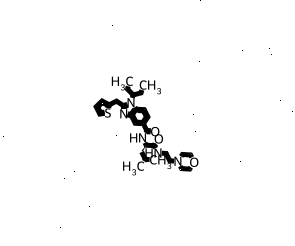 CCC(CC)n1c(Cc2cccs2)nc2cc(C(=O)N[C@@H](CC(C)C)C(=O)NCCN3CCOCC3)ccc21